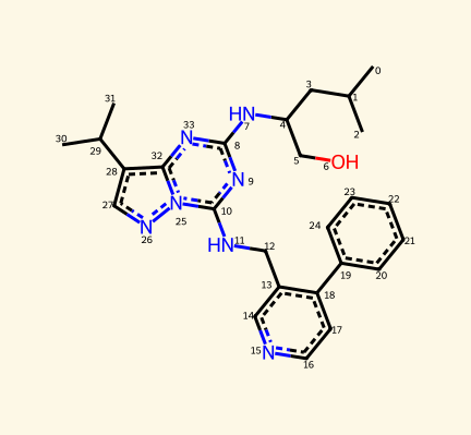 CC(C)CC(CO)Nc1nc(NCc2cnccc2-c2ccccc2)n2ncc(C(C)C)c2n1